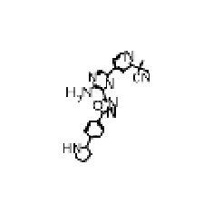 CC(C)(C#N)c1cc(-c2cnc(N)c(-c3nnc(-c4ccc(C5CCCN5)cc4)o3)n2)ccn1